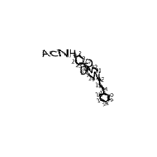 CC(=O)Nc1ccc(S(=O)(=O)N2CCN(CC=Cc3ccccc3)CC2)cc1